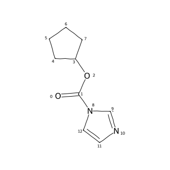 O=C(OC1CCCC1)n1[c]ncc1